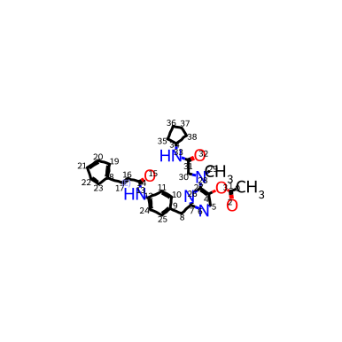 CC(=O)Oc1cnc(Cc2ccc(NC(=O)/C=C/c3ccccc3)cc2)nc1N(C)CC(=O)NC1CCCC1